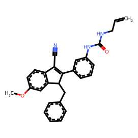 C=CCNC(=O)Nc1cccc(C2=C(C#N)c3ccc(OC)cc3C2Cc2ccccc2)c1